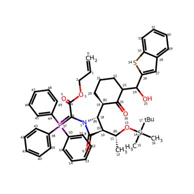 C=CCOC(=O)C(N1C(=O)[C@H]([C@@H](C)O[Si](C)(C)C(C)(C)C)[C@H]1[C@H]1CCCC(C(O)c2cc3ccccc3s2)C1=O)=P(c1ccccc1)(c1ccccc1)c1ccccc1